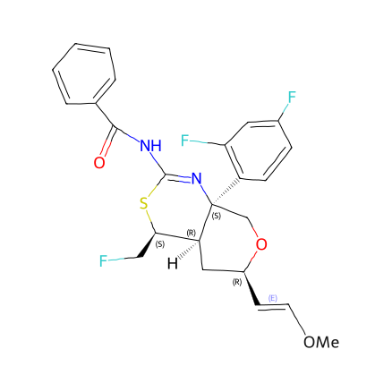 CO/C=C/[C@H]1C[C@H]2[C@@H](CF)SC(NC(=O)c3ccccc3)=N[C@@]2(c2ccc(F)cc2F)CO1